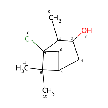 CC1C(O)CC2CC1(Cl)C2(C)C